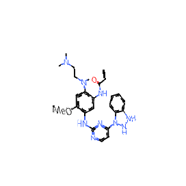 C=CC(=O)Nc1cc(Nc2nccc(N3NNc4ccccc43)n2)c(OC)cc1N(C)CCN(C)C